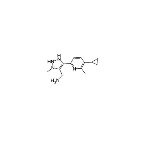 Cc1nc(C2=C(CN)N(C)NN2)ccc1C1CC1